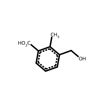 Cc1c(CO)cccc1C(=O)O